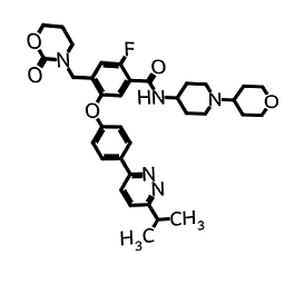 CC(C)c1ccc(-c2ccc(Oc3cc(C(=O)NC4CCN(C5CCOCC5)CC4)c(F)cc3CN3CCCOC3=O)cc2)nn1